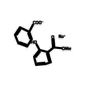 COC(=O)c1ccccc1O.O=C([O-])c1ccccc1.[Na+]